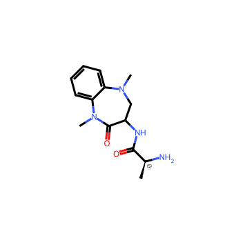 C[C@H](N)C(=O)NC1CN(C)c2ccccc2N(C)C1=O